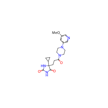 COc1cncc(N2CCN(C(=O)CCC3(C4CC4)NC(=O)NC3=O)CC2)c1